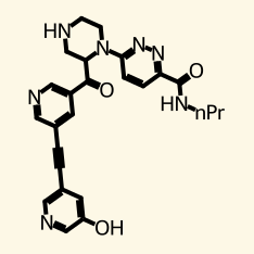 CCCNC(=O)c1ccc(N2CCNCC2C(=O)c2cncc(C#Cc3cncc(O)c3)c2)nn1